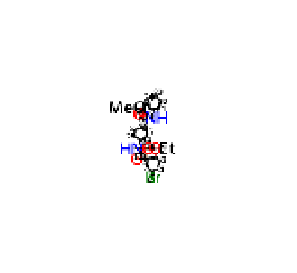 CCOc1ccc(Br)cc1S(=O)(=O)Nc1ccc(C(=O)Nc2ccccc2OC)cc1